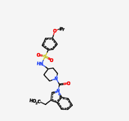 CC(C)Oc1ccc(S(=O)(=O)NC2CCN(C(=O)n3cc(CC(=O)O)c4ccccc43)CC2)cc1